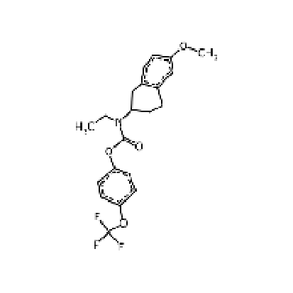 CCN(C(=O)Oc1ccc(OC(F)(F)F)cc1)C1CCc2cc(OC)ccc2C1